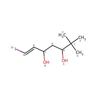 CC(C)(C)C(O)CC(O)C=CI